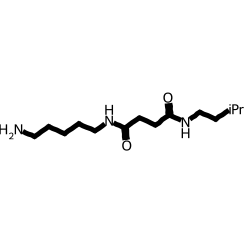 CC(C)CCNC(=O)CCC(=O)NCCCCCN